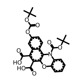 CC(C)(C)OC(=O)Oc1ccc2c3c(c(C(=O)O)c(C(=O)O)c2c1)Oc1ccccc1N3C(=O)OC(C)(C)C